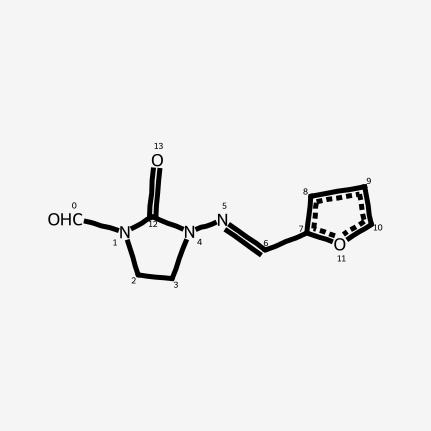 O=CN1CCN(N=Cc2ccco2)C1=O